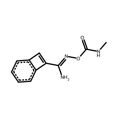 CNC(=O)ON=C(N)C1=Cc2ccccc21